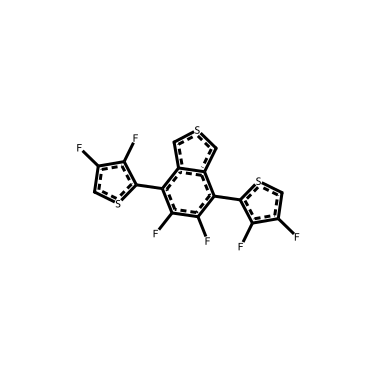 Fc1csc(-c2c(F)c(F)c(-c3scc(F)c3F)c3cscc23)c1F